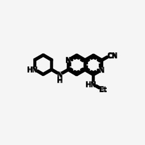 CCNc1nc(C#N)cc2cnc(NC3CCCNC3)cc12